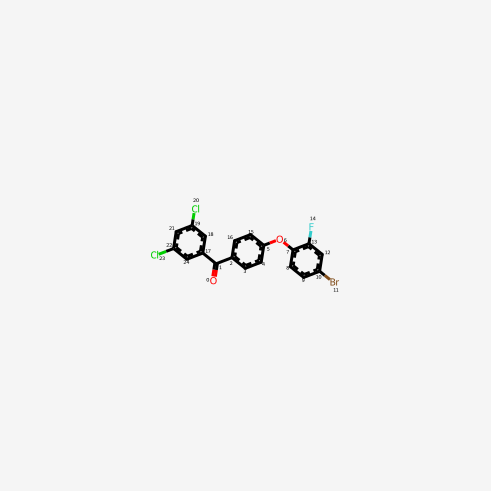 O=C(c1ccc(Oc2ccc(Br)cc2F)cc1)c1cc(Cl)cc(Cl)c1